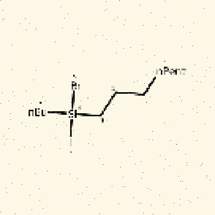 CCCCCCCC[Si](Br)(I)CCCC